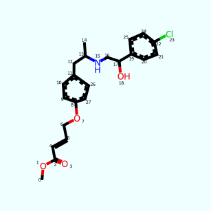 COC(=O)C=CCOc1ccc(CC(C)NCC(O)c2ccc(Cl)cc2)cc1